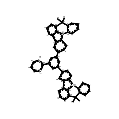 CC1(C)c2ccccc2-n2c3ccc(-c4cc(-c5ccc6c(c5)c5cccc7c5n6-c5ccccc5C7(C)C)cc(-c5ncccn5)c4)cc3c3cccc1c32